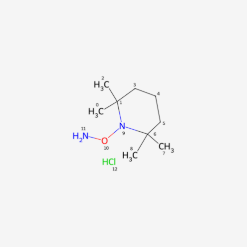 CC1(C)CCCC(C)(C)N1ON.Cl